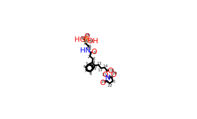 O=C(CCC1c2cccc(c2)C1CCCC(=O)ON1C(=O)CCC1=O)NCCP(=O)(O)O